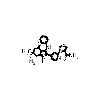 CC1(C)CC(=O)c2c([nH]c(-c3ccnc(N4CSC=C4C(N)=O)c3)c2Nc2ccccc2)C1